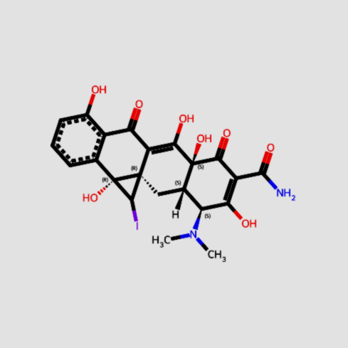 CN(C)[C@@H]1C(O)=C(C(N)=O)C(=O)[C@@]2(O)C(O)=C3C(=O)c4c(O)cccc4[C@]4(O)C(I)[C@]34C[C@@H]12